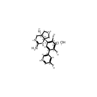 Cl.Cl.NC1=NC[C@H]2COC[C@]2(c2cc(-c3cncc(F)c3)c(F)cc2F)S1